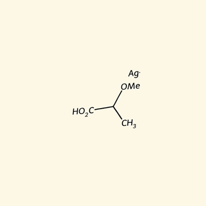 COC(C)C(=O)O.[Ag]